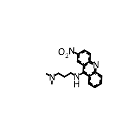 CN(C)CCCNc1c2ccccc2nc2ccc([N+](=O)[O-])cc12